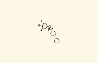 Fc1cc(OC(F)(F)C2CCC(C3CCCCC3)CC2)cc(F)c1F